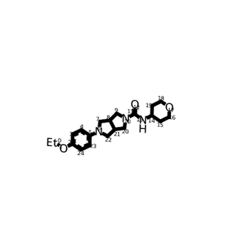 CCOc1ccc(N2CC3CN(C(=O)NC4CCOCC4)CC3C2)cc1